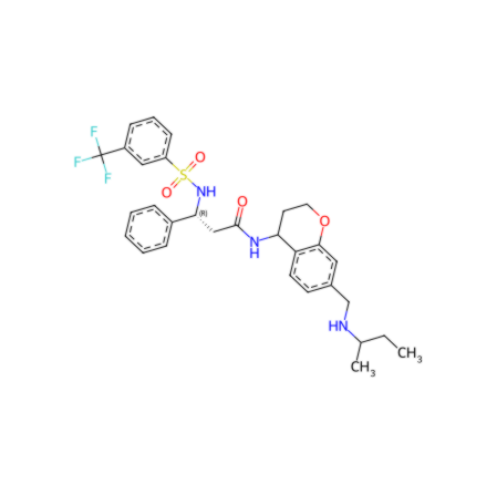 CCC(C)NCc1ccc2c(c1)OCCC2NC(=O)C[C@@H](NS(=O)(=O)c1cccc(C(F)(F)F)c1)c1ccccc1